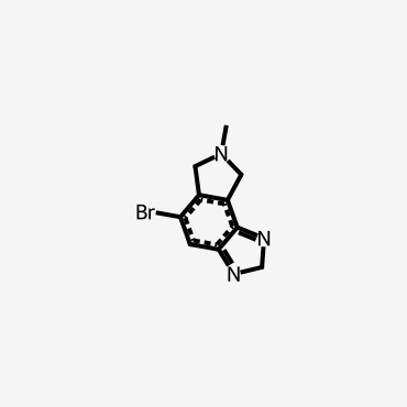 CN1Cc2c(Br)cc3c(c2C1)=NCN=3